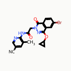 Cc1cc(C#N)cnc1NC(=O)Cn1nc(OC2CC2)c2cc(Br)ccc2c1=O